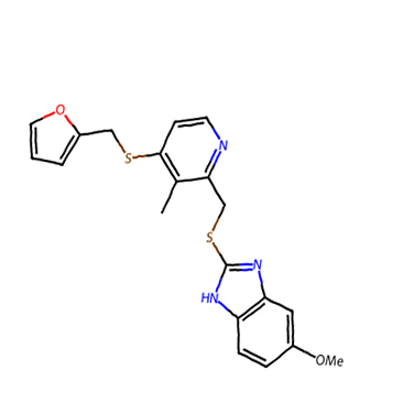 COc1ccc2[nH]c(SCc3nccc(SCc4ccco4)c3C)nc2c1